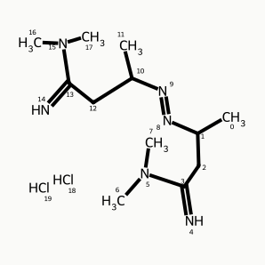 CC(CC(=N)N(C)C)N=NC(C)CC(=N)N(C)C.Cl.Cl